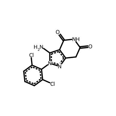 Nc1c2c(nn1-c1c(Cl)cccc1Cl)CC(=O)NC2=O